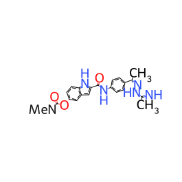 CNC(=O)Oc1ccc2[nH]c(C(=O)Nc3ccc(/C(C)=N\NC(C)=N)cc3)cc2c1